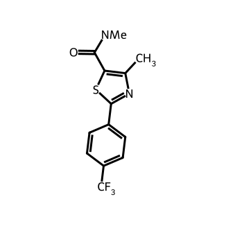 [CH2-][NH2+]C(=O)c1sc(-c2ccc(C(F)(F)F)cc2)nc1C